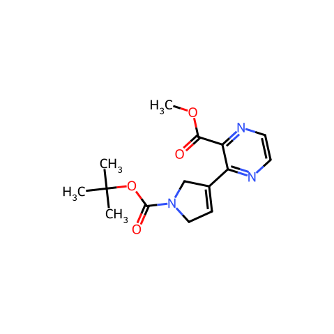 COC(=O)c1nccnc1C1=CCN(C(=O)OC(C)(C)C)C1